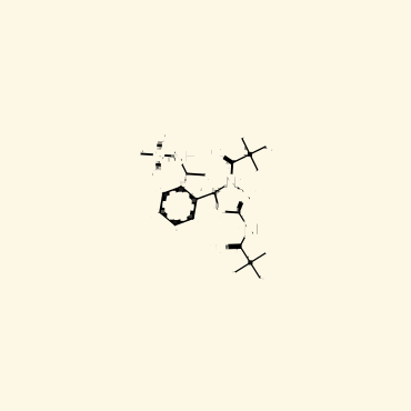 CC(C)(C)C(=O)NC1=NN(C(=O)C(C)(C)C)[C@](CCNS(C)(=O)=O)(c2ccccc2)S1